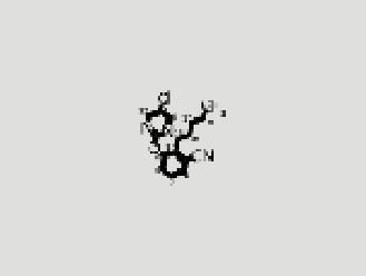 N#Cc1cccc(Oc2ncc(Cl)cn2)c1CCCCC(F)(F)F